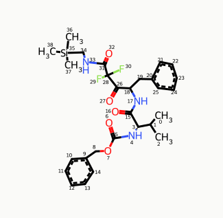 CC(C)[C@H](NC(=O)OCc1ccccc1)C(=O)NC(Cc1ccccc1)C(=O)C(F)(F)C(=O)NC[Si](C)(C)C